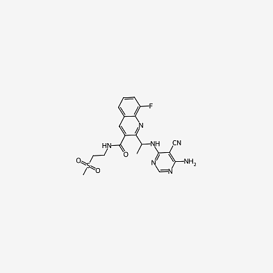 CC(Nc1ncnc(N)c1C#N)c1nc2c(F)cccc2cc1C(=O)NCCS(C)(=O)=O